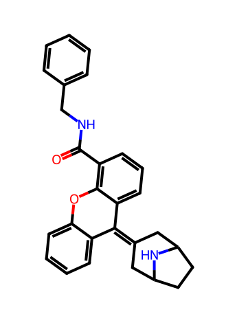 O=C(NCc1ccccc1)c1cccc2c1Oc1ccccc1C2=C1CC2CCC(C1)N2